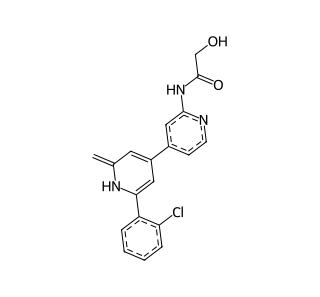 C=C1C=C(c2ccnc(NC(=O)CO)c2)C=C(c2ccccc2Cl)N1